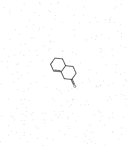 O=C1CCC2CCCC=C2C1